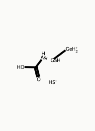 O=C(O)[AsH][GaH][GeH2+].[SH-]